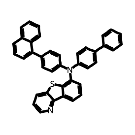 c1ccc(-c2ccc(N(c3ccc(-c4cccc5ccccc45)cc3)c3cccc4c3sc3cccnc34)cc2)cc1